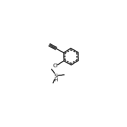 C#Cc1ccccc1Cl.C[SiH](C)C